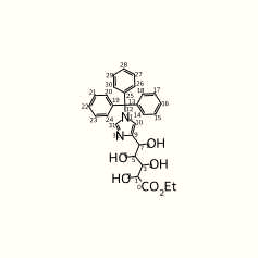 CCOC(=O)C(O)C(O)C(O)C(O)c1cn(C(c2ccccc2)(c2ccccc2)c2ccccc2)cn1